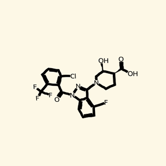 O=C(O)[C@H]1CCN(c2nn(C(=O)c3c(Cl)cccc3C(F)(F)F)c3cccc(F)c23)C[C@H]1O